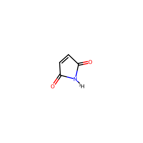 [3H]N1C(=O)C=CC1=O